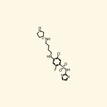 O=S(=O)(Nc1nccs1)c1cc(Cl)c(NCCCCN[C@@H]2CCNC2)cc1F